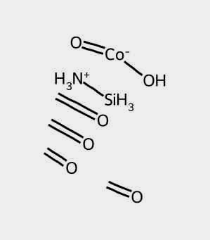 C=O.C=O.C=O.C=O.[NH3+][SiH3].[O]=[Co-][OH]